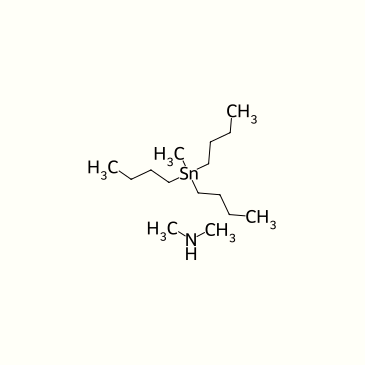 CCC[CH2][Sn]([CH3])([CH2]CCC)[CH2]CCC.CNC